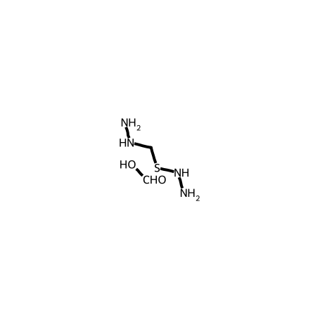 NNCSNN.O=CO